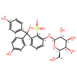 O=S1(=O)OC(c2ccc(O)cc2)(c2ccc(O)cc2)c2cccc(O[C@@H]3O[C@H](CO)[C@H](O)[C@H](O)[C@H]3O)c21